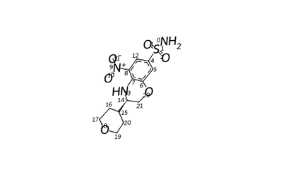 NS(=O)(=O)c1cc2c(c([N+](=O)[O-])c1)N[C@H](C1CCOCC1)CO2